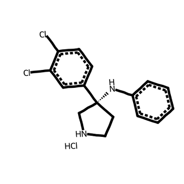 Cl.Clc1ccc([C@@]2(Nc3ccccc3)CCNC2)cc1Cl